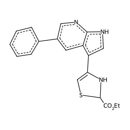 CCOC(=O)C1NC(c2c[nH]c3ncc(-c4ccccc4)cc23)=CS1